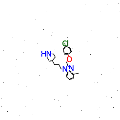 Cc1cccc2c1nc(COc1ccc(Cl)cc1)n2CCCC1CCNCC1